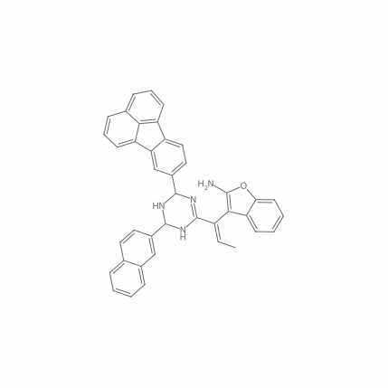 C/C=C(/C1=NC(c2ccc3c(c2)-c2cccc4cccc-3c24)NC(c2ccc3ccccc3c2)N1)c1c(N)oc2ccccc12